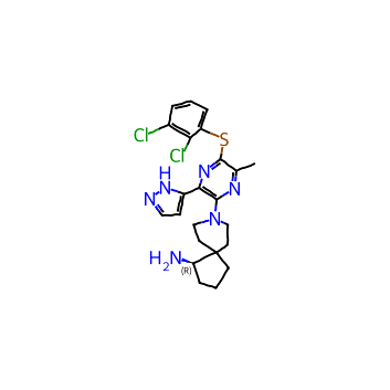 Cc1nc(N2CCC3(CCC[C@H]3N)CC2)c(-c2ccn[nH]2)nc1Sc1cccc(Cl)c1Cl